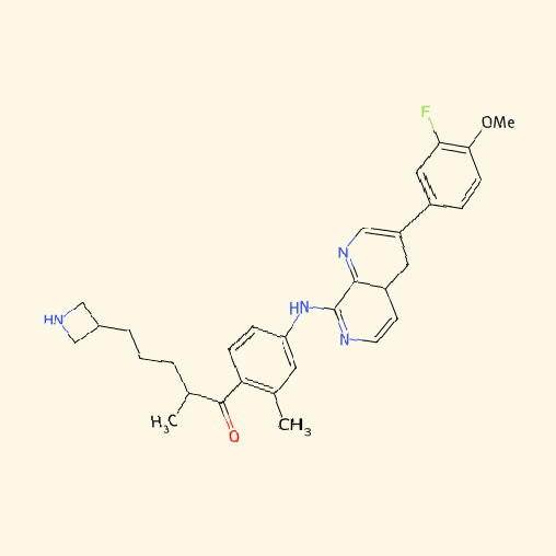 COc1ccc(C2=CN=C3C(Nc4ccc(C(=O)C(C)CCCC5CNC5)c(C)c4)=NC=CC3C2)cc1F